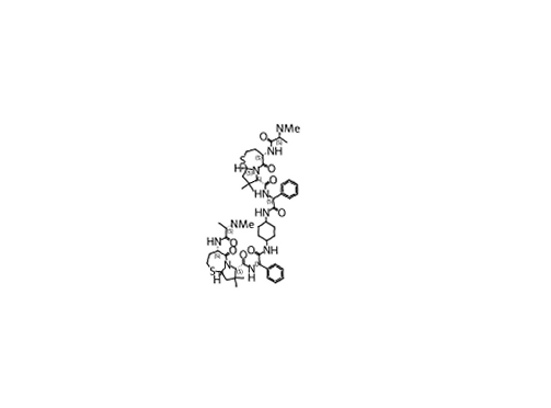 CN[C@@H](C)C(=O)N[C@H]1CCS[C@H]2CC(C)(C)[C@@H](C(=O)N[C@H](C(=O)NC3CCC(NC(=O)[C@@H](NC(=O)[C@H]4N5C(=O)[C@@H](NC(=O)[C@H](C)NC)CCS[C@H]5CC4(C)C)c4ccccc4)CC3)c3ccccc3)N2C1=O